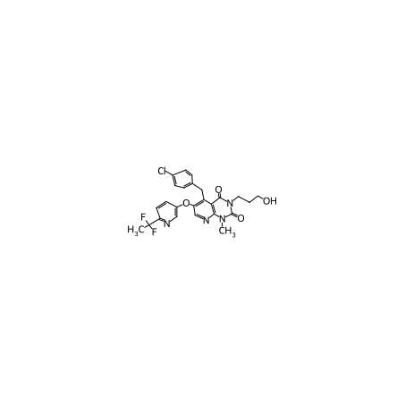 Cn1c(=O)n(CCCO)c(=O)c2c(Cc3ccc(Cl)cc3)c(Oc3ccc(C(C)(F)F)nc3)cnc21